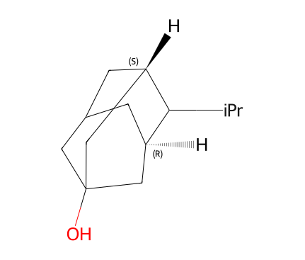 CC(C)C1[C@@H]2CC3C[C@H]1CC(O)(C3)C2